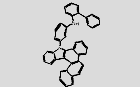 c1ccc(-c2ccccc2Nc2cccc(-n3c4ccccc4c4c5c6ccccc6ccc5c5ccccc5c43)c2)cc1